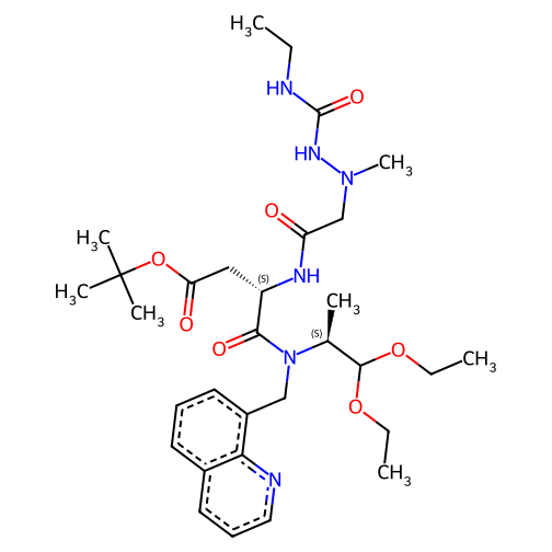 CCNC(=O)NN(C)CC(=O)N[C@@H](CC(=O)OC(C)(C)C)C(=O)N(Cc1cccc2cccnc12)[C@@H](C)C(OCC)OCC